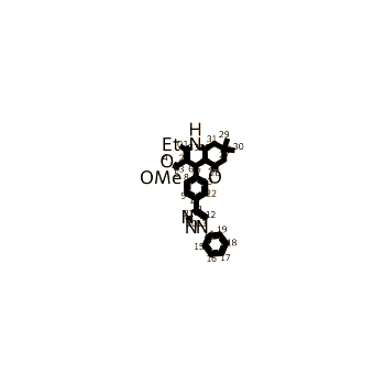 CCC1=C(C(=O)OC)C(c2ccc(-c3cn(-c4ccccc4)nn3)cc2)C2C(=O)CC(C)(C)CC2N1